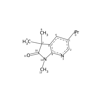 CC(C)c1cnc2c(c1)C(C)(C)C(=O)N2C